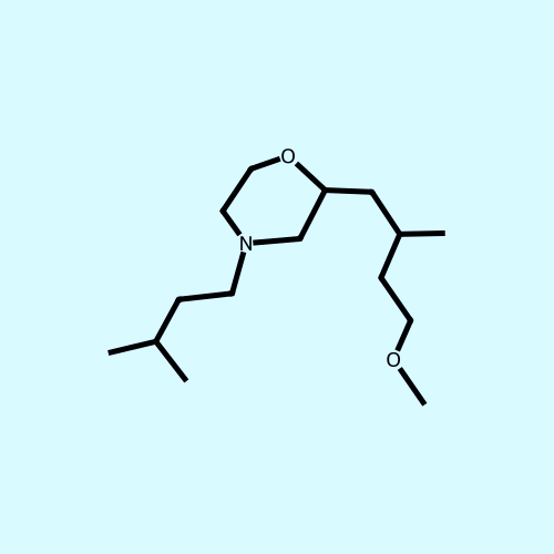 COCCC(C)CC1CN(CCC(C)C)CCO1